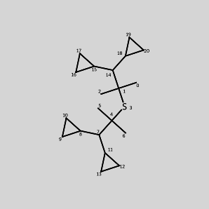 CC(C)(SC(C)(C)C(C1CC1)C1CC1)C(C1CC1)C1CC1